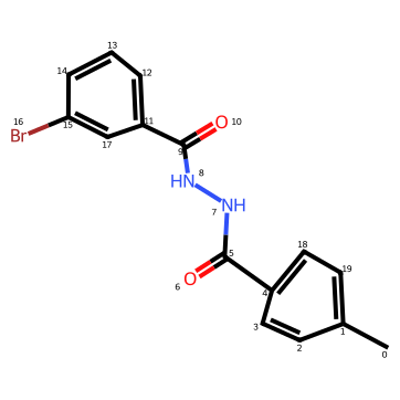 Cc1ccc(C(=O)NNC(=O)c2cccc(Br)c2)cc1